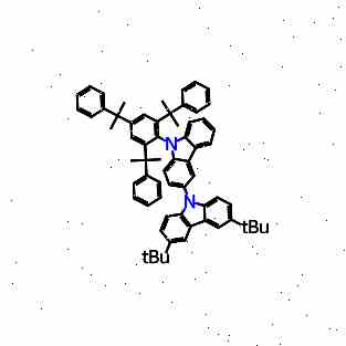 CC(C)(C)c1ccc2c(c1)c1cc(C(C)(C)C)ccc1n2-c1ccc2c(c1)c1ccccc1n2-c1c(C(C)(C)c2ccccc2)cc(C(C)(C)c2ccccc2)cc1C(C)(C)c1ccccc1